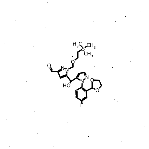 CS(C)(C)CCOCn1nc(C=O)cc1C(O)c1ccnn1-c1ccc(F)cc1C1OCCO1